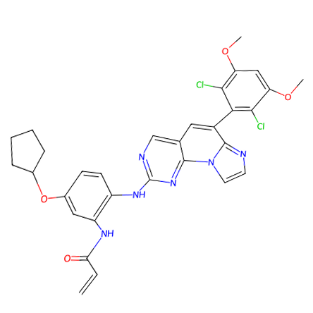 C=CC(=O)Nc1cc(OC2CCCC2)ccc1Nc1ncc2cc(-c3c(Cl)c(OC)cc(OC)c3Cl)c3nccn3c2n1